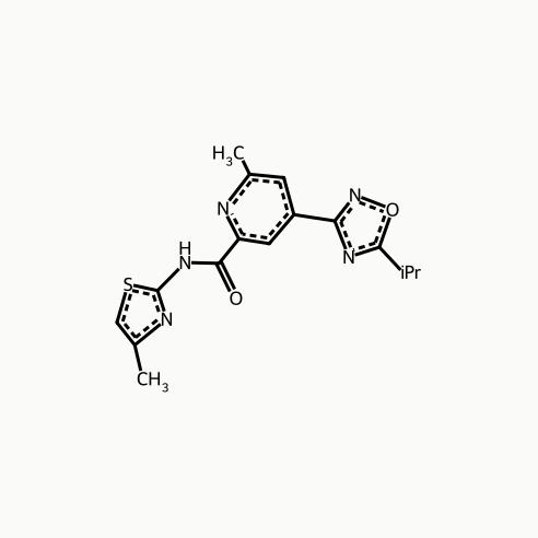 Cc1cc(-c2noc(C(C)C)n2)cc(C(=O)Nc2nc(C)cs2)n1